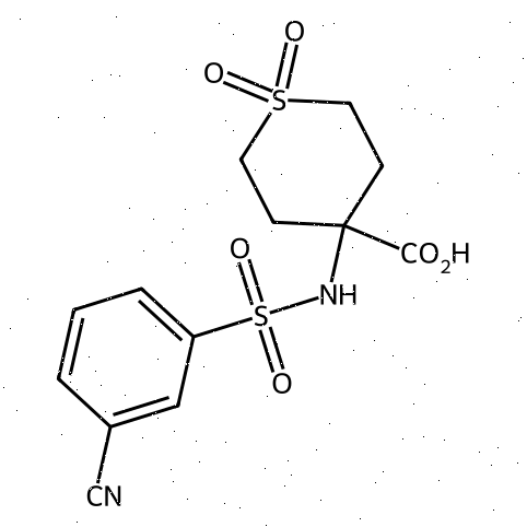 N#Cc1cccc(S(=O)(=O)NC2(C(=O)O)CCS(=O)(=O)CC2)c1